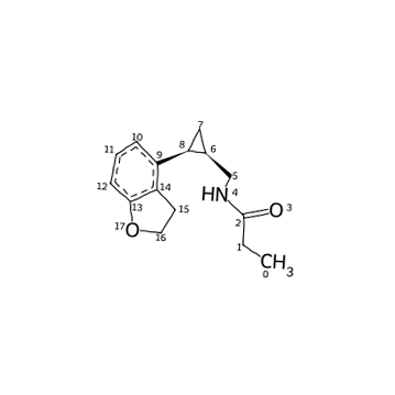 CCC(=O)NC[C@@H]1C[C@@H]1c1cccc2c1CCO2